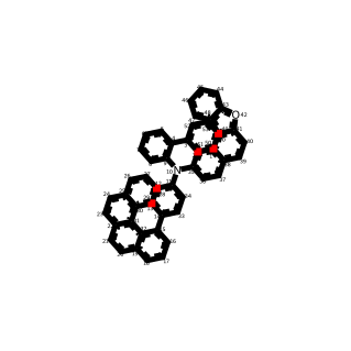 c1ccc(-c2ccccc2N(c2ccc(-c3cccc4ccc5ccc6ccccc6c5c34)cc2)c2ccc3ccc4oc5ccccc5c4c3c2)cc1